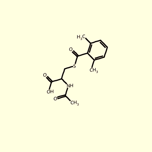 CC(=O)NC(CSC(=O)c1c(C)cccc1C)C(=O)O